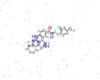 COc1ccc(CCNC(=O)c2ccc(N/C(=N/[C@H]3CCCCC[C@@H]3C)N3CCN[C@@H](C)C3)cc2)c(F)c1